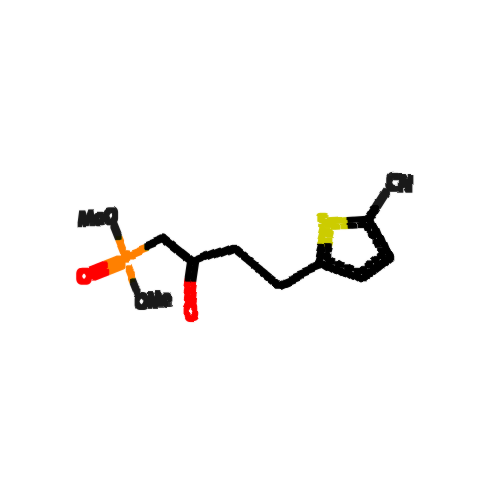 COP(=O)(CC(=O)CCc1ccc(C#N)s1)OC